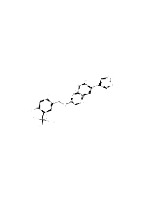 Fc1ccc(CNc2cnc3cc(-c4cn[nH]c4)ccc3n2)cc1C(F)(F)F